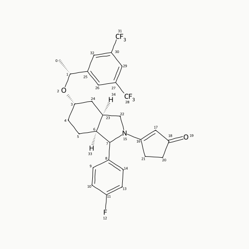 C[C@@H](O[C@H]1CC[C@@H]2C(c3ccc(F)cc3)N(C3=CC(=O)CC3)C[C@@H]2C1)c1cc(C(F)(F)F)cc(C(F)(F)F)c1